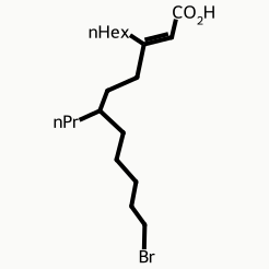 CCCCCC/C(=C\C(=O)O)CCC(CCC)CCCCCBr